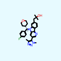 Cc1nnn(C)c1-c1cnc2c3ccc(CC(C)(C)O)cc3n([C@H](c3ccc(F)cc3)C3CCOCC3)c2c1